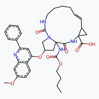 CCCCOC(=O)NC12CC(Oc3cc(-c4ccccc4)nc4cc(OC)ccc34)CN1C(=O)NCCCC/C=C/C1CC1(C(=O)O)NC2=O